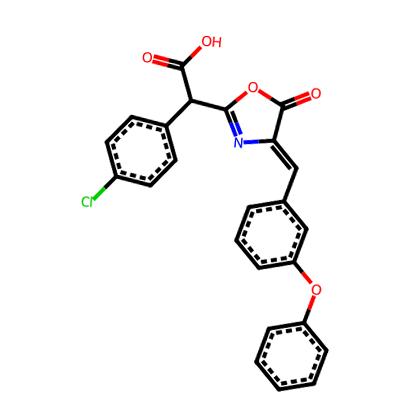 O=C1OC(C(C(=O)O)c2ccc(Cl)cc2)=NC1=Cc1cccc(Oc2ccccc2)c1